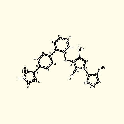 CCCc1cn(-c2nncn2CCC)c(=O)n1Cc1cnccc1-c1ccc(-c2nnn[nH]2)cc1